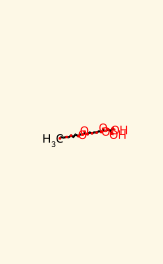 CCCCCCCCCCOC(=O)CCCCCCCC(=O)OCC(CO)CO